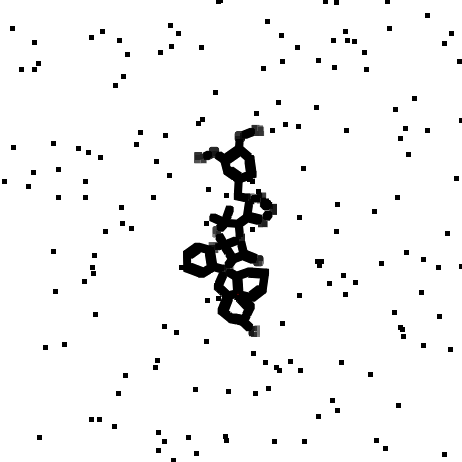 CCOc1ccc(Cn2nnnc2C2N3C(=O)C([N+](Cc4ccc(Cl)cc4)(c4ccccc4)c4ccccc4)[C@@H]3SC2(C)C)cc1OCC